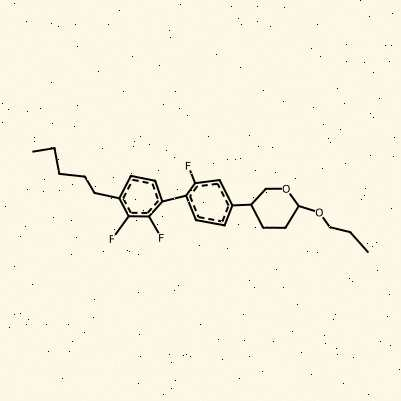 CCCCCc1ccc(-c2ccc(C3CCC(OCCC)OC3)cc2F)c(F)c1F